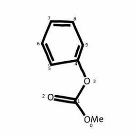 COC(=O)Oc1[c]cccc1